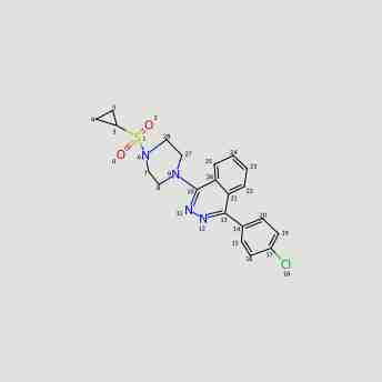 O=S(=O)(C1CC1)N1CCN(c2nnc(-c3ccc(Cl)cc3)c3ccccc23)CC1